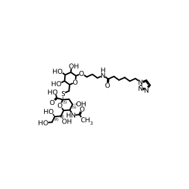 CC(=O)NC1C([C@H](O)[C@H](O)CO)O[C@@](SCC2OC(OCCCNC(=O)CCCCCn3ccnn3)C(O)C(O)C2O)(C(=O)O)C[C@@H]1O